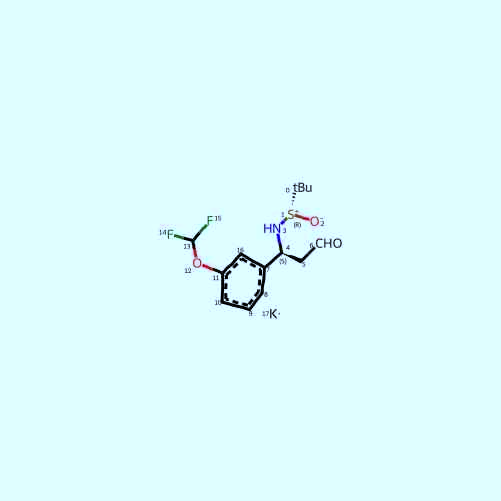 CC(C)(C)[S@+]([O-])N[C@@H](CC=O)c1cccc(OC(F)F)c1.[K]